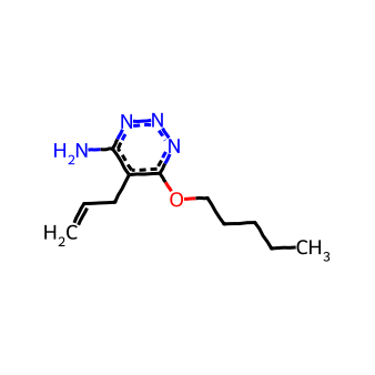 C=CCc1c(N)nnnc1OCCCCC